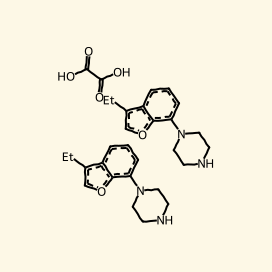 CCc1coc2c(N3CCNCC3)cccc12.CCc1coc2c(N3CCNCC3)cccc12.O=C(O)C(=O)O